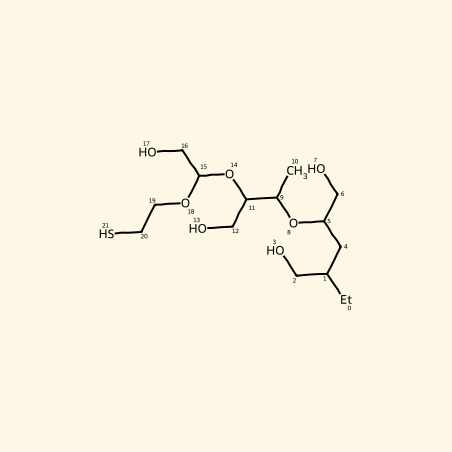 CCC(CO)CC(CO)OC(C)C(CO)OC(CO)OCCS